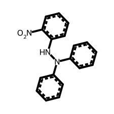 O=[N+]([O-])c1ccccc1NN(c1ccccc1)c1ccccc1